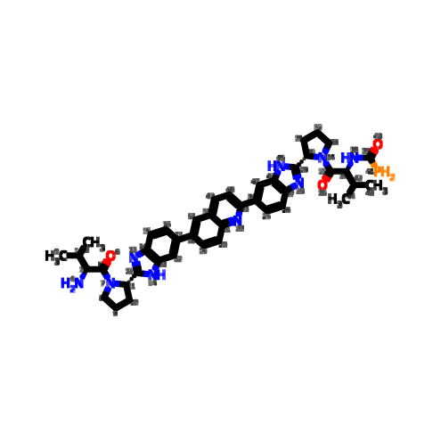 CC(C)[C@H](N)C(=O)N1CCC[C@H]1c1nc2ccc(-c3ccc4nc(-c5ccc6nc([C@@H]7CCCN7C(=O)[C@@H](NC(=O)P)C(C)C)[nH]c6c5)ccc4c3)cc2[nH]1